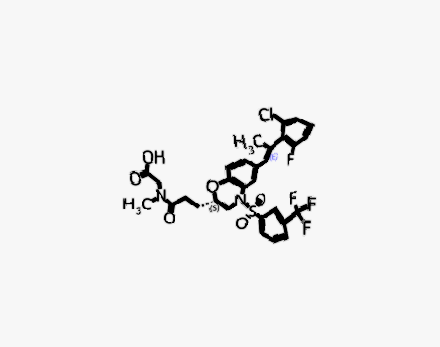 C/C(=C\c1ccc2c(c1)N(S(=O)(=O)c1cccc(C(F)(F)F)c1)C[C@H](CCC(=O)N(C)CC(=O)O)O2)c1c(F)cccc1Cl